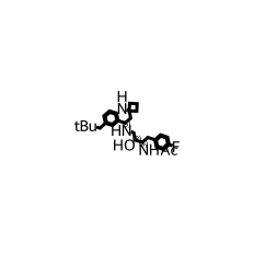 CC(=O)N[C@@H](Cc1ccc(F)cc1)[C@H](O)CN[C@H]1CC2(CCC2)Nc2ccc(CC(C)(C)C)cc21